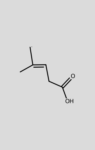 [CH2]/C(C)=C/CC(=O)O